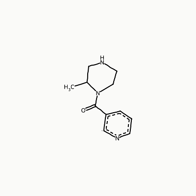 CC1CNCCN1C(=O)c1[c]nccc1